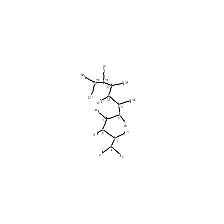 II(I)I(I)I(I)I(I)I(I)I(I)I(I)I(I)I(I)I(I)I